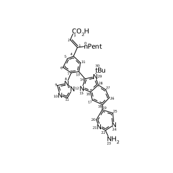 CCCCC/C(=C\C(=O)O)c1ccc(-n2cncn2)c(-c2nc3cc(-c4cnc(N)nc4)ccc3n2C(C)(C)C)c1